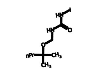 CCCC(C)(C)OCNC(=O)NI